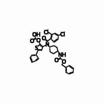 O=C(O)Oc1sc(-c2ccccc2)cc1N(C(=O)c1ccc(Cl)cc1Cl)C1CCC(NC(=O)OCc2ccccc2)CC1